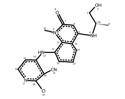 C[C@@H](CO)Nc1cc(=O)n(C)c2c(Nc3ccnc(Cl)c3C#N)cccc12